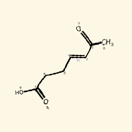 CC(=O)/C=C/CCC(=O)O